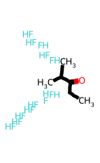 CCC(=O)C(C)C.F.F.F.F.F.F.F.F.F.F.F.F